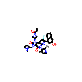 C=CC(=O)N1CC(n2c(=O)n(C[C@@H]3CCCN3C)c3c(=O)n(-c4c(C)ccnc4C(C)C)c4nc(-c5cc(O)cc6ccccc56)c(F)cc4c32)C1